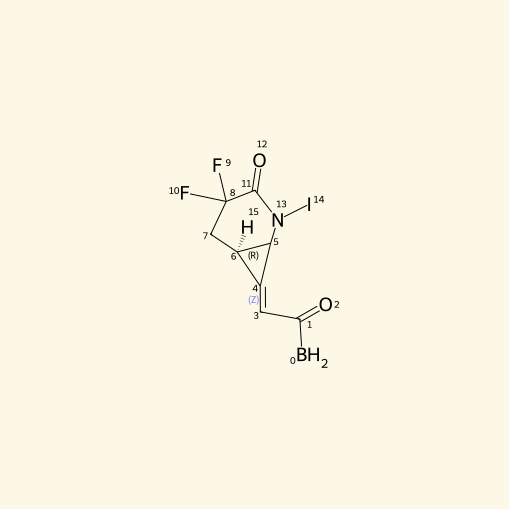 BC(=O)/C=C1\C2[C@@H]1CC(F)(F)C(=O)N2I